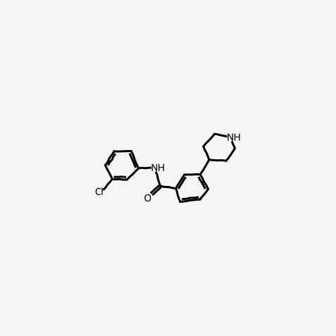 O=C(Nc1cccc(Cl)c1)c1cccc(C2CCNCC2)c1